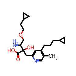 Cc1cnc(CC(O)(C(=O)O)C(N)COCCC2CC2)cc1CCCC1CC1